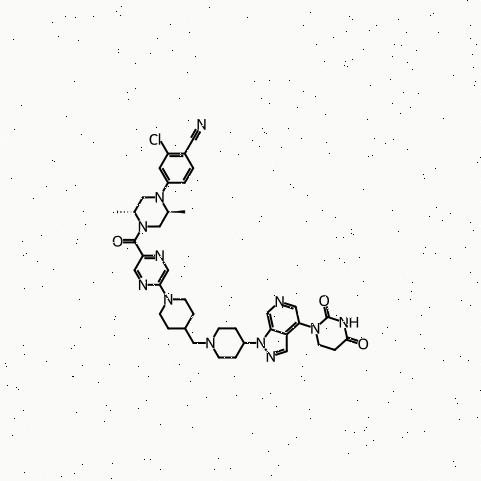 C[C@@H]1CN(c2ccc(C#N)c(Cl)c2)[C@@H](C)CN1C(=O)c1cnc(N2CCC(CN3CCC(n4ncc5c(N6CCC(=O)NC6=O)cncc54)CC3)CC2)cn1